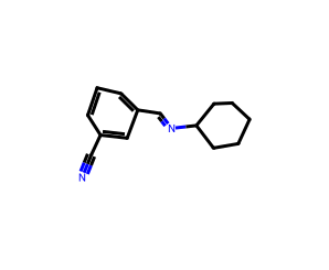 N#Cc1cccc(C=NC2CCCCC2)c1